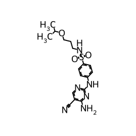 CC(C)OCCCNS(=O)(=O)c1ccc(Nc2ncc(C#N)c(N)n2)cc1